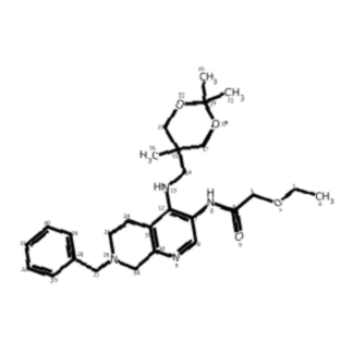 CCOCC(=O)Nc1cnc2c(c1NCC1(C)COC(C)(C)OC1)CCN(Cc1ccccc1)C2